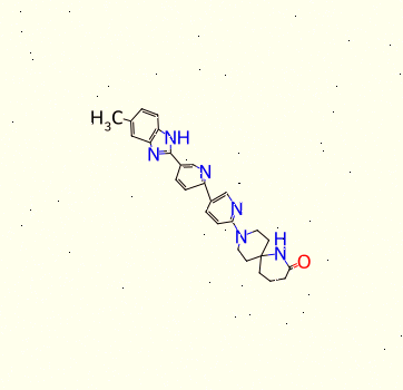 Cc1ccc2[nH]c(-c3ccc(-c4ccc(N5CCC6(CCCC(=O)N6)CC5)nc4)nc3)nc2c1